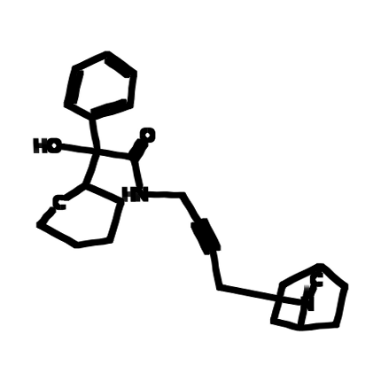 O=C(NCC#CCN1CC2CCC(CC2)C1)C(O)(c1ccccc1)C1CCCCC1